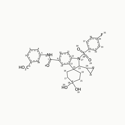 O=C(O)c1cccc(NC(=O)c2ccc3c(c2)C2(CCS(O)(O)CC2)C(C2CC2)N3S(=O)(=O)c2ccc(F)cc2)c1